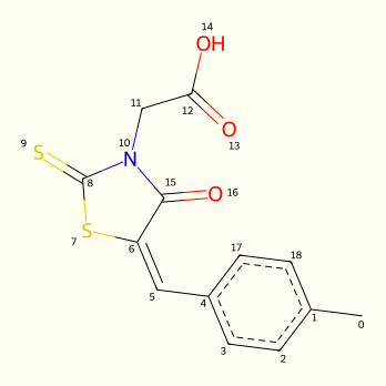 Cc1ccc(/C=C2/SC(=S)N(CC(=O)O)C2=O)cc1